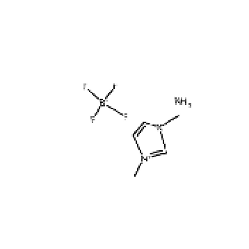 Cn1cc[n+](C)c1.F[B-](F)(F)F.N